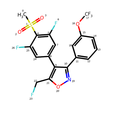 CS(=O)(=O)c1c(F)cc(-c2c(-c3cccc(OC(F)(F)F)c3)noc2CF)cc1F